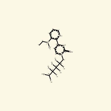 CC[S+]([O-])c1cccnc1-c1ccn(CC(F)(F)C(F)(F)C(F)(F)C(F)F)c(=O)n1